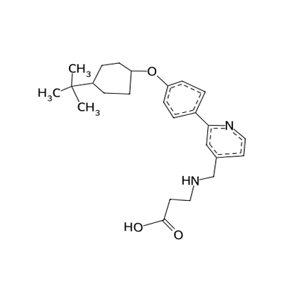 CC(C)(C)C1CCC(Oc2ccc(-c3cc(CNCCC(=O)O)ccn3)cc2)CC1